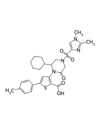 Cc1ccc(-c2cc(N3C(=O)CN(S(=O)(=O)c4cn(C)c(C)n4)CC3C3CCCCC3)c(C(=O)O)s2)cc1